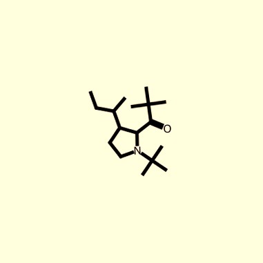 CCC(C)C1CCN(C(C)(C)C)C1C(=O)C(C)(C)C